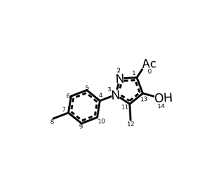 CC(=O)c1nn(-c2ccc(C)cc2)c(C)c1O